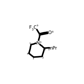 CCCC1CCCCN1C(=O)C(F)(F)F